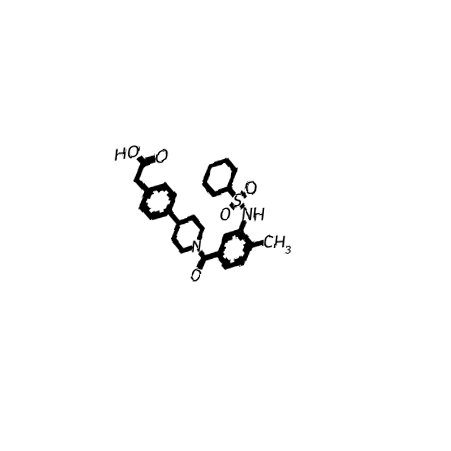 Cc1ccc(C(=O)N2CCC(c3ccc(CC(=O)O)cc3)CC2)cc1NS(=O)(=O)C1CCCCC1